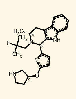 C[C@@H]1Cc2c([nH]c3ccccc23)[C@@H](c2ccc(O[C@H]3CCNC3)s2)N1CC(C)(C)F